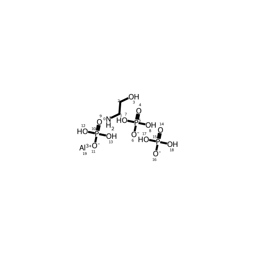 NCCO.O=P([O-])(O)O.O=P([O-])(O)O.O=P([O-])(O)O.[Al+3]